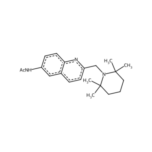 CC(=O)Nc1ccc2nc(CN3C(C)(C)CCCC3(C)C)ccc2c1